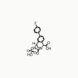 O=C(O)C1c2ccc(-c3ccc(F)cc3)cc2[C@H]2CN1C(=O)N2OS(=O)(=O)O